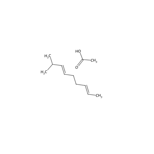 CC(=O)O.CC=CCCC=CC(C)C